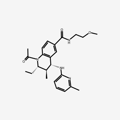 CC[C@H]1[C@H](C)[C@@H](Nc2cccc(C)n2)c2cc(C(=O)NCCOC)ccc2N1C(C)=O